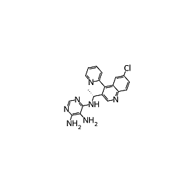 C[C@@H](Nc1ncnc(N)c1N)c1cnc2ccc(Cl)cc2c1-c1ccccn1